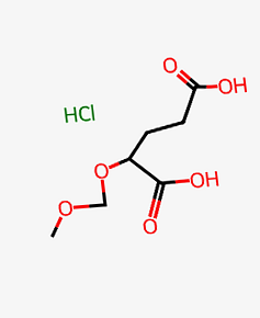 COCOC(CCC(=O)O)C(=O)O.Cl